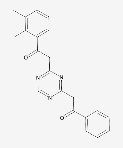 Cc1cccc(C(=O)Cc2ncnc(CC(=O)c3ccccc3)n2)c1C